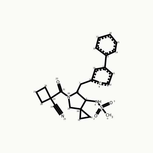 CS(=O)(=O)NC1C(Cc2cccc(-c3ccccc3)c2)N(C(=O)C2(C#N)CCC2)CC12CC2